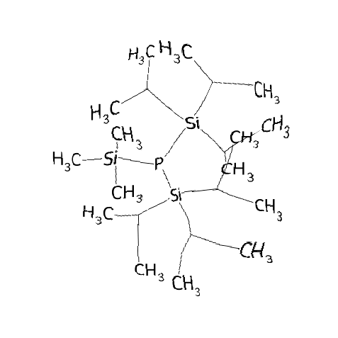 CC(C)[Si](C(C)C)(C(C)C)P([Si](C)(C)C)[Si](C(C)C)(C(C)C)C(C)C